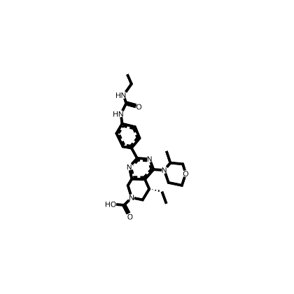 CCNC(=O)Nc1ccc(-c2nc3c(c(N4CCOCC4C)n2)[C@H](CC)CN(C(=O)O)C3)cc1